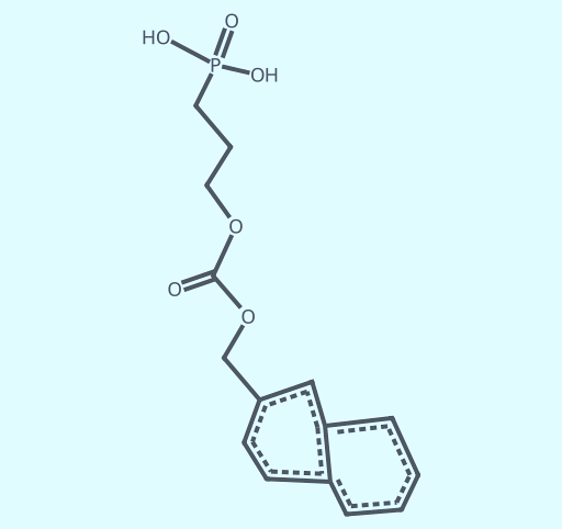 O=C(OCCCP(=O)(O)O)OCc1ccc2ccccc2c1